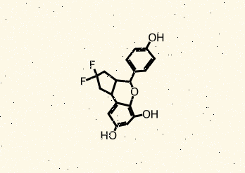 Oc1ccc(C2Oc3c(O)cc(O)cc3C3CC(F)(F)CC32)cc1